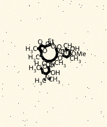 CC[C@H]1OC(=O)[C@H](C)[C@@H](O[C@H]2C[C@@](C)(OC)[C@@H](O)[C@H](C)O2)[C@H](C)C(O[C@@H]2OC(C)C[C@H](N(C)C)[C@H]2O)C(C)(O)C[C@@H](C)C2=C(C)C(=O)[C@]1(C)O2